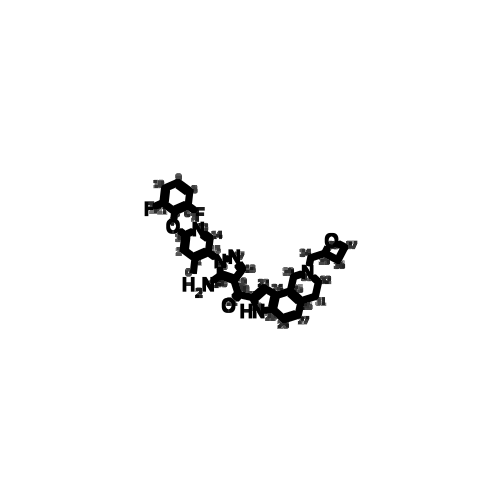 Cc1cc(Oc2c(F)cccc2F)ncc1-n1ncc(C(=O)c2cc3c4c(ccc3[nH]2)CCN(CC2CCO2)C4)c1N